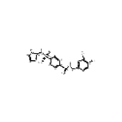 O=C(NCc1ccc(Cl)c(Cl)c1)c1ccc(S(=O)(=O)Nc2nccs2)cc1